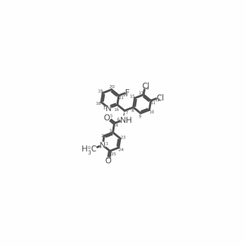 Cn1cc(C(=O)N[C@@H](c2ccc(Cl)c(Cl)c2)c2ncccc2F)ccc1=O